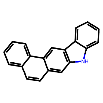 c1ccc2c(c1)ccc1cc3[nH]c4ccccc4c3cc12